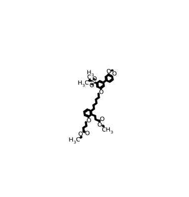 CCOC(=O)CCCOc1cccc(CCCCCCOc2cc(-c3ccc4c(c3)OCO4)cc(S(=O)(=O)C(C)C)c2)c1CCC(=O)OCC